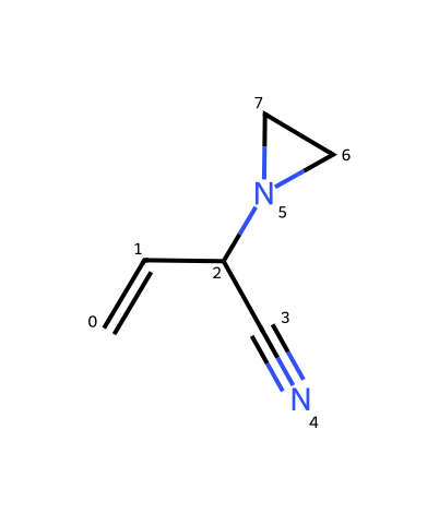 C=CC(C#N)N1CC1